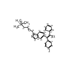 CC/C(=C(\c1ccc(I)cc1)c1ccc2c(cnn2COCC[Si](C)(C)C)c1)c1ccccc1